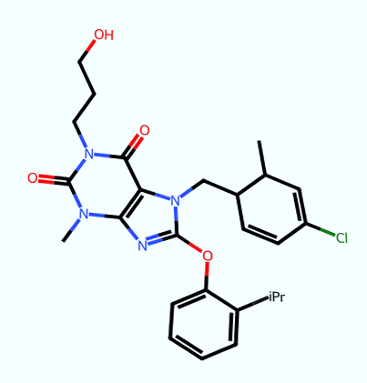 CC(C)c1ccccc1Oc1nc2c(c(=O)n(CCCO)c(=O)n2C)n1CC1C=CC(Cl)=CC1C